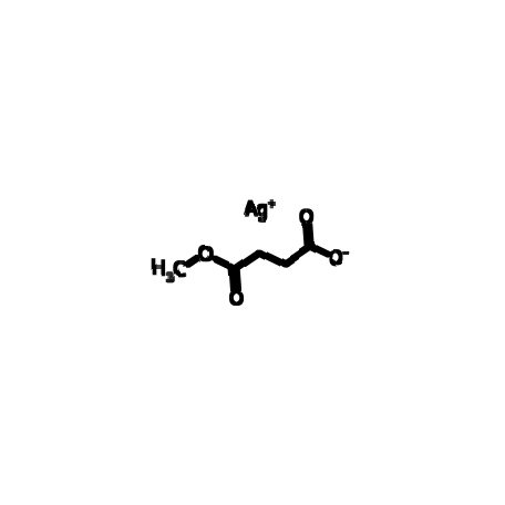 COC(=O)CCC(=O)[O-].[Ag+]